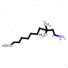 CCCCCCCCCCCCCCCC(C)(C)CCN